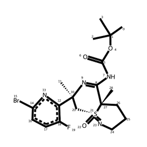 CC(C)(C)OC(=O)NC1=N[C@](C)(c2nc(Br)ccc2F)C[S@@]2(=O)=NCCC[C@@]12C